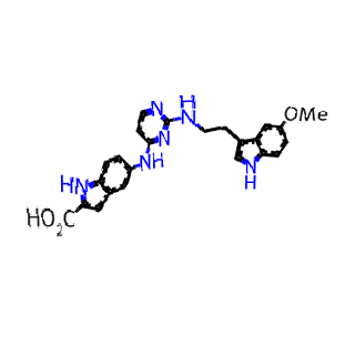 COc1ccc2[nH]cc(CCNc3nccc(Nc4ccc5[nH]c(C(=O)O)cc5c4)n3)c2c1